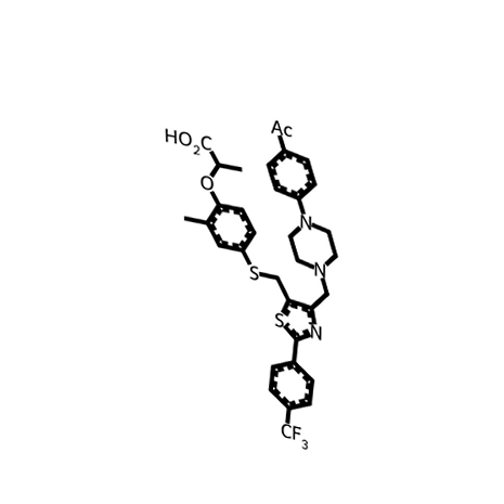 CC(=O)c1ccc(N2CCN(Cc3nc(-c4ccc(C(F)(F)F)cc4)sc3CSc3ccc(OC(C)C(=O)O)c(C)c3)CC2)cc1